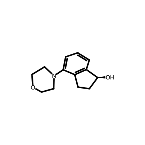 O[C@H]1CCc2c1cccc2N1CCOCC1